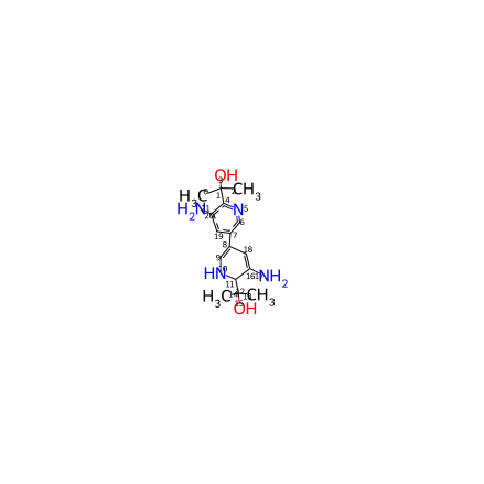 CC(C)(O)c1ncc(C2=CNC(C(C)(C)O)C(N)=C2)cc1N